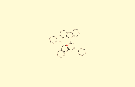 c1ccc(-c2nc(-c3ccccc3)nc(-n3c4ccccc4c4ccc5c(c43)C(c3ccccc3)c3ccccc3-5)n2)cc1